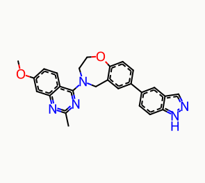 COc1ccc2c(N3CCOc4ccc(-c5ccc6[nH]ncc6c5)cc4C3)nc(C)nc2c1